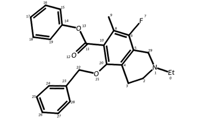 CCN1CCc2c(c(F)c(C)c(C(=O)Oc3ccccc3)c2OCc2ccccc2)C1